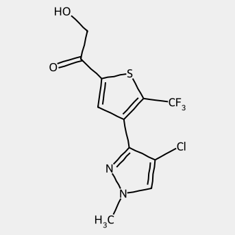 Cn1cc(Cl)c(-c2cc(C(=O)CO)sc2C(F)(F)F)n1